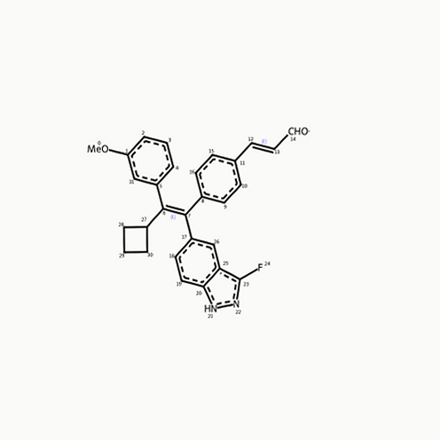 COc1cccc(/C(=C(\c2ccc(/C=C/[C]=O)cc2)c2ccc3[nH]nc(F)c3c2)C2CCC2)c1